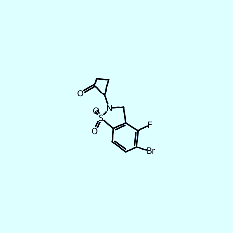 O=C1CCC1N1Cc2c(ccc(Br)c2F)S1(=O)=O